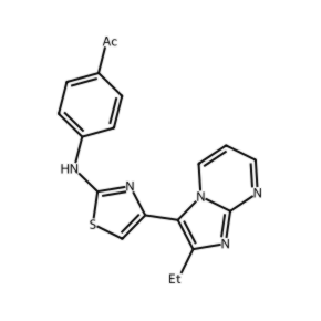 CCc1nc2ncccn2c1-c1csc(Nc2ccc(C(C)=O)cc2)n1